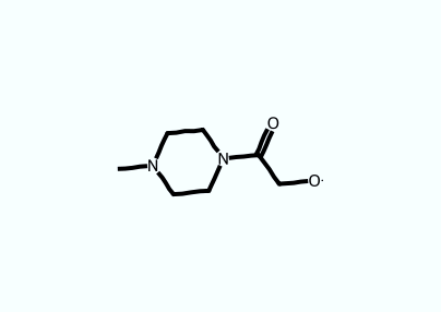 CN1CCN(C(=O)C[O])CC1